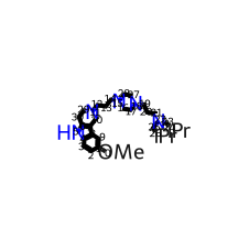 COc1ccc2[nH]c3c(c2c1)CN(CCCN1CCN(CCCN(CC(C)C)CC(C)C)CC1)CC3